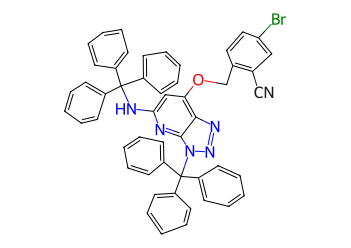 N#Cc1cc(Br)ccc1COc1cc(NC(c2ccccc2)(c2ccccc2)c2ccccc2)nc2c1nnn2C(c1ccccc1)(c1ccccc1)c1ccccc1